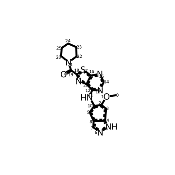 COc1cc2[nH]ncc2cc1Nc1ncnc2sc(C(=O)N3CCCCC3)nc12